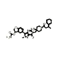 CC(CC(=O)N1CCC(O)(Cn2cnc3c(-c4ccc5c(c4)C(OC(N)=O)CO5)n(C)nc3c2=O)CC1)c1ccccc1